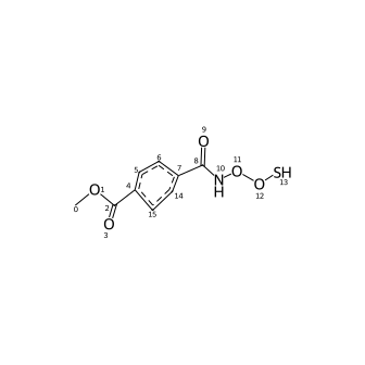 COC(=O)c1ccc(C(=O)NOOS)cc1